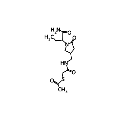 CC[C@@H](C(N)=O)N1CC(CNC(=O)CSC(C)=O)CC1=O